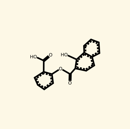 O=C(O)c1ccccc1OC(=O)c1ccc2ccccc2c1O